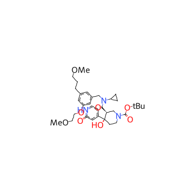 COCCCc1cc(CN(C(=O)[C@H]2CN(C(=O)OC(C)(C)C)CC[C@]2(O)c2cc[nH]c(=O)c2)C2CC2)cc(OCCOC)c1